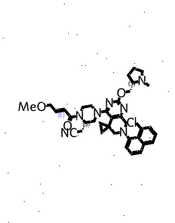 COC/C=C/C(=O)N1CCN(c2nc(OC[C@@H]3CCCN3C)nc3c2C2(CC2)CN(c2cccc4cccc(Cl)c24)C3)C[C@@H]1CC#N